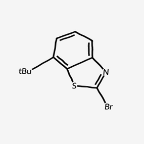 CC(C)(C)c1cccc2nc(Br)sc12